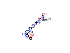 C[C@@H]1c2c([nH]c3nnc(-c4ccccc4O)cc23)CCN1c1ncc(C2CCN(C3CC4(C3)CN(C(=O)N[C@H](C(=O)N3C[C@H](O)C[C@H]3C(=O)O)C(C)(C)C)C4)CC2)cn1